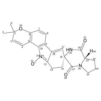 CC1(C)C=Cc2c(ccc3c2[N+]([O-])=C2CC[C@]4(C=C23)NC(=O)[C@@H]2CCCN2C4=O)O1